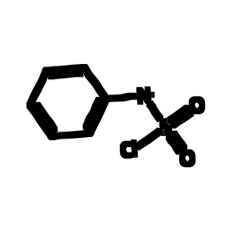 O=S(=O)(Cl)[N]c1ccccc1